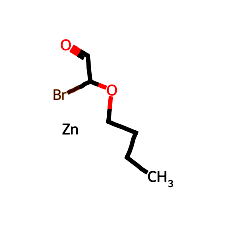 CCCCOC(Br)C=O.[Zn]